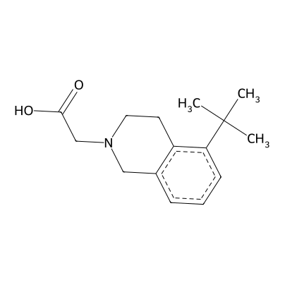 CC(C)(C)c1cccc2c1CCN(CC(=O)O)C2